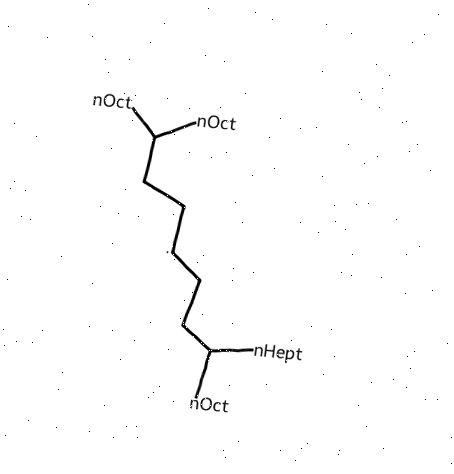 CCCCCCCCC(CC[CH]CCC(CCCCCCCC)CCCCCCCC)CCCCCCC